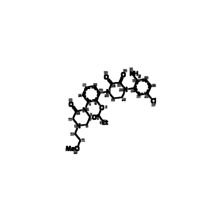 CCC(=O)Oc1c(N2CCN(CCOC)CC2=O)cccc1N1CCN(c2cc(Cl)ccc2N)C(=O)C1=O